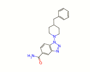 NC(=O)c1ccc2c(c1)nnn2N1CCC(Cc2ccccc2)CC1